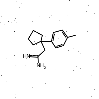 Cc1ccc(C2(CC(=N)N)CCCC2)cc1